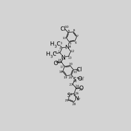 CC1C(C)N(c2cccc(Cl)c2)CCN1C(=O)c1ccc([S+]([O-])CC(=O)c2nccs2)c(Cl)c1